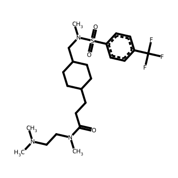 CN(C)CCN(C)C(=O)CCC1CCC(CN(C)S(=O)(=O)c2ccc(C(F)(F)F)cc2)CC1